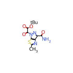 Cc1nc2c(C(N)=O)nn(C(=O)C(=O)OC(C)(C)C)c2s1